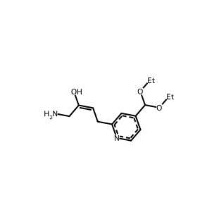 CCOC(OCC)c1ccnc(C/C=C(/O)CN)c1